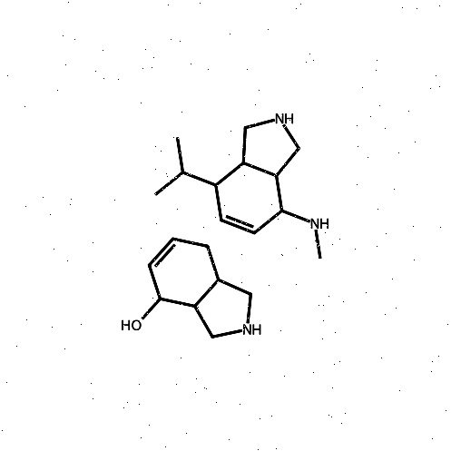 CNC1C=CC(C(C)C)C2CNCC12.OC1C=CCC2CNCC12